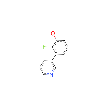 [O]c1cccc(-c2cccnc2)c1F